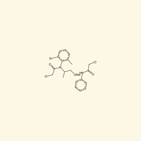 CCc1cccc(C)c1N(C(=O)CCl)C(C)COC.O=C(CCl)Nc1ccccc1